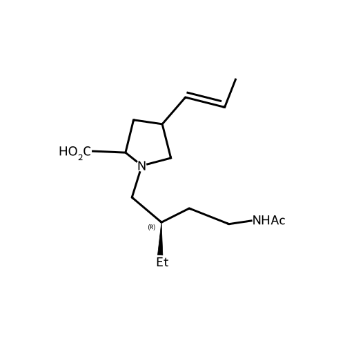 CC=CC1CC(C(=O)O)N(C[C@H](CC)CCNC(C)=O)C1